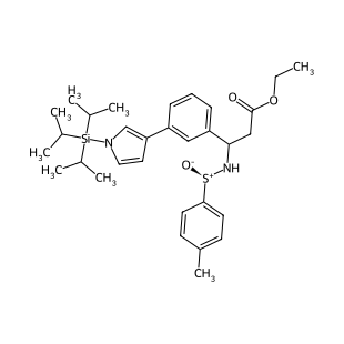 CCOC(=O)CC(N[S@+]([O-])c1ccc(C)cc1)c1cccc(-c2ccn([Si](C(C)C)(C(C)C)C(C)C)c2)c1